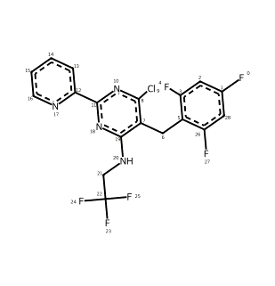 Fc1cc(F)c(Cc2c(Cl)nc(-c3ccccn3)nc2NCC(F)(F)F)c(F)c1